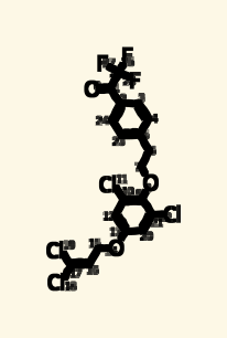 O=C(c1ccc(CCOc2c(Cl)cc(OCC=C(Cl)Cl)cc2Cl)cc1)C(F)(F)F